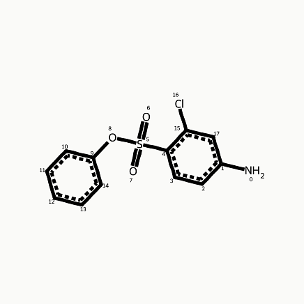 Nc1ccc(S(=O)(=O)Oc2ccccc2)c(Cl)c1